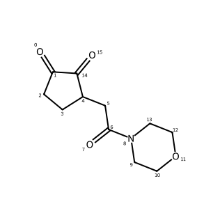 O=C1CCC(CC(=O)N2CCOCC2)C1=O